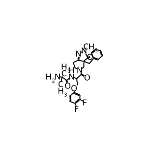 CN1N=C2CCN(C(=O)C(COc3ccc(F)c(F)c3)NC(=O)C(C)(C)N)CC2(Cc2ccccc2)C1=O